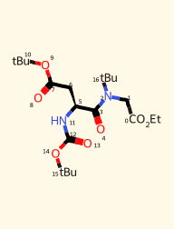 CCOC(=O)CN(C(=O)[C@H](CC(=O)OC(C)(C)C)NC(=O)OC(C)(C)C)C(C)(C)C